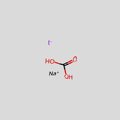 O=C(O)O.[I-].[Na+]